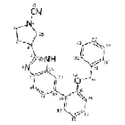 N#CN1CCC(c2nc3ccc(-c4ccccc4OCc4ccccc4)cc3[nH]2)C1